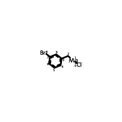 [Cl][Mg][CH2]c1cccc(Br)c1